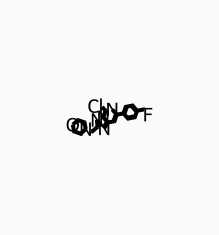 FCc1ccc(-c2cc3nc(CN4CCOCC4)nn3c(Cl)n2)cc1